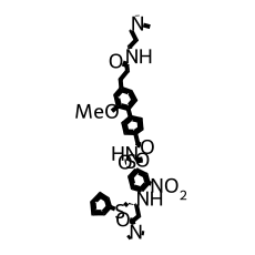 COc1cc(CCC(=O)NCCCN(C)C)ccc1-c1ccc(C(=O)NS(=O)(=O)c2ccc(N[C@@H](CSc3ccccc3)CC(=O)N(C)C)c([N+](=O)[O-])c2)cc1